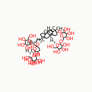 CCCCC(CCC1CCC2(C)C3CC=C4C(CCC(OC5OC(COC6OC(CO)C(O)C(O)C6O)C(O)C(O)C5O)C4(C)C)C3(C)CCC12C)OC1(COC2OC(CO)C(O)C(O)C2O)CCC(OC2OC(CO)C(O)(O)C(O)(O)C2O)C(C)(O)O1